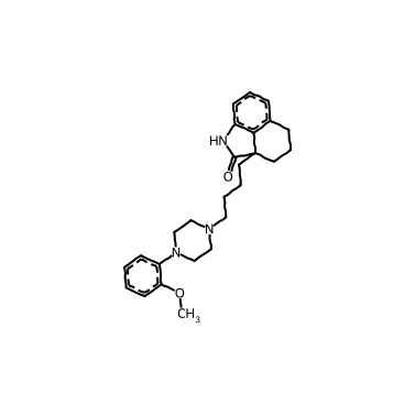 COc1ccccc1N1CCN(CCCCC23CCCc4cccc(c42)NC3=O)CC1